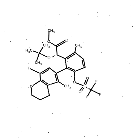 COC(=O)[C@@H](OC(C)(C)C)c1c(C)ccc(OS(=O)(=O)C(F)(F)F)c1-c1cc(F)c2c(c1C)CCCO2